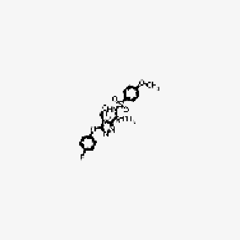 CCn1c(Oc2ccc(F)cc2)nnc1[C@@H](C)NS(=O)(=O)c1ccc(OC)cc1